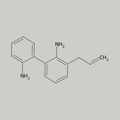 C=CCc1cccc(-c2ccccc2N)c1N